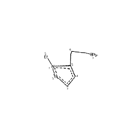 CCn1n[c]cc1CC(C)C